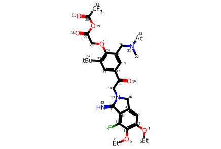 CCOc1cc2c(c(F)c1OCC)C(=N)N(CC(=O)c1cc(CN(C)C(C)=O)c(OCC(=O)OC(=O)C(F)(F)F)c(C(C)(C)C)c1)C2